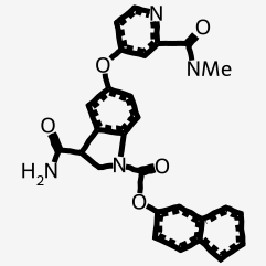 CNC(=O)c1cc(Oc2ccc3c(c2)C(C(N)=O)CN3C(=O)Oc2ccc3ccccc3c2)ccn1